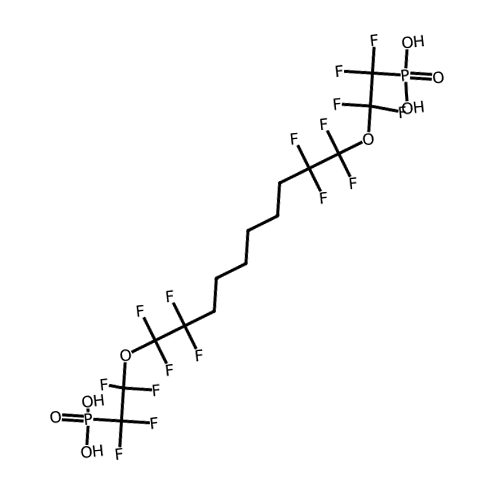 O=P(O)(O)C(F)(F)C(F)(F)OC(F)(F)C(F)(F)CCCCCCC(F)(F)C(F)(F)OC(F)(F)C(F)(F)P(=O)(O)O